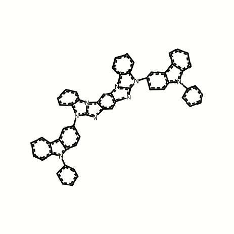 c1ccc(-n2c3ccccc3c3cc(-n4c5ccccc5n5c6cc7c(cc6nc45)nc4n(-c5ccc6c(c5)c5ccccc5n6-c5ccccc5)c5ccccc5n74)ccc32)cc1